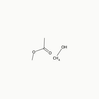 C.CO.COC(C)=O